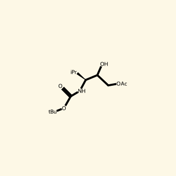 CC(=O)OCC(O)[C@@H](NC(=O)OC(C)(C)C)C(C)C